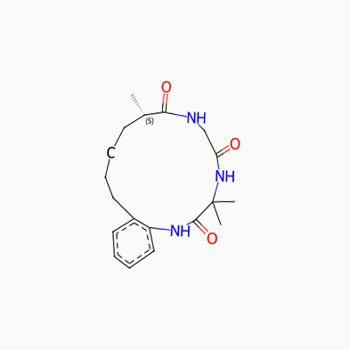 C[C@H]1CCCCc2ccccc2NC(=O)C(C)(C)NC(=O)CNC1=O